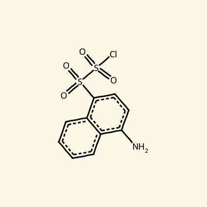 Nc1ccc(S(=O)(=O)S(=O)(=O)Cl)c2ccccc12